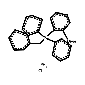 COc1ccccc1[P+](Cc1ccccc1)(c1ccccc1)c1ccccc1.P.[Cl-]